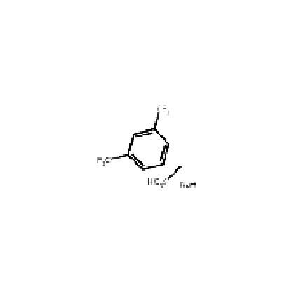 CS(=O)(=O)O.FC(F)(F)c1cccc(C(F)(F)F)c1.[NaH]